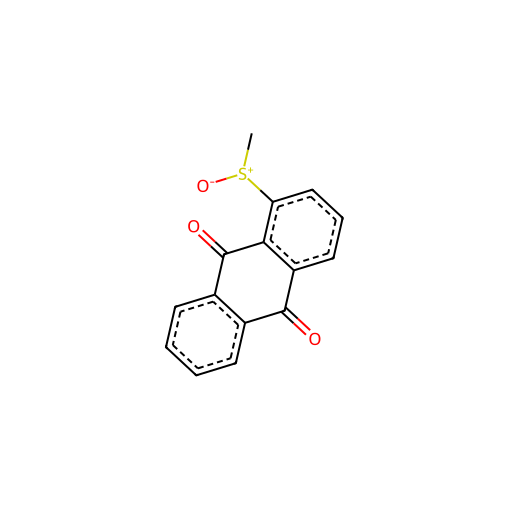 C[S+]([O-])c1cccc2c1C(=O)c1ccccc1C2=O